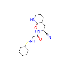 N#C[C@H](C[C@@H]1CCCNC1=O)NC(=O)CNSC1CCCCC1